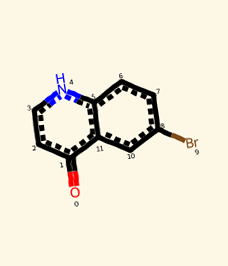 O=c1c[c][nH]c2ccc(Br)cc12